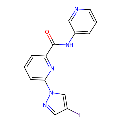 O=C(Nc1cccnc1)c1cccc(-n2cc(I)cn2)n1